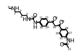 CNCCCCNC(=O)Nc1ccc(C(=O)CC(=O)c2ccc(NC(C)=O)cc2)cc1